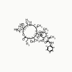 CC[C@H]1OC(=O)[C@H](C)[C@@H](O)[C@H](C)[C@@H](O[C@@H]2O[C@H](C)C[C@H](N(C)C(=O)Nc3ccccc3)[C@H]2O)[C@](C)(O)C[C@@H](C)CN[C@H](C)[C@@H](O)[C@]1(C)O